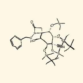 CC(C)(C)[Si](C)(C)O[C@H]1[C@@H](O)[C@]2(CC(=O)N2OCc2ccccc2)[C@H](O[Si](C)(C)C)[C@H](O[Si](C)(C)C(C)(C)C)[C@@]1(C#N)O[Si](C)(C)C